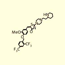 COc1cc(C=C2SC(N3CCN(CCC4CCCCN4)CC3)=NC2=O)ccc1OCc1ccc(C(F)(F)F)cc1C(F)(F)F